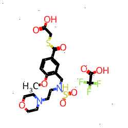 COc1ccc(C(=O)SCC(=O)O)cc1CN(CCN1CCOCC1)[SH](=O)=O.O=C(O)C(F)(F)F